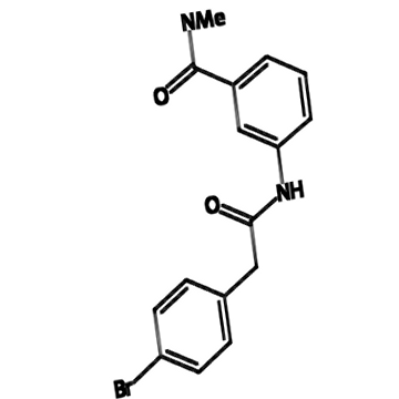 CNC(=O)c1cccc(NC(=O)Cc2ccc(Br)cc2)c1